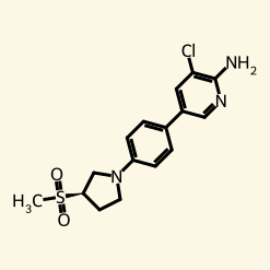 CS(=O)(=O)[C@@H]1CCN(c2ccc(-c3cnc(N)c(Cl)c3)cc2)C1